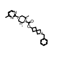 Cc1ccnc(N2C[C@@H](C)N(C(=O)OC3CC4(C3)CN(Cc3ccccc3)C4)[C@H](C)C2)n1